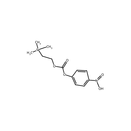 C[Si](C)(C)CCOC(=O)Oc1ccc([N+](=O)O)cc1